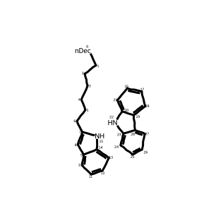 CCCCCCCCCCCCCCCCc1cc2ccccc2[nH]1.c1ccc2c(c1)[nH]c1ccccc12